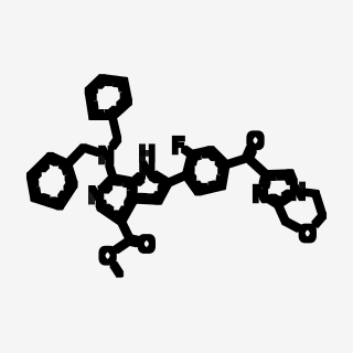 COC(=O)c1cnc(N(Cc2ccccc2)Cc2ccccc2)c2[nH]c(-c3ccc(C(=O)c4cn5c(n4)COCC5)cc3F)cc12